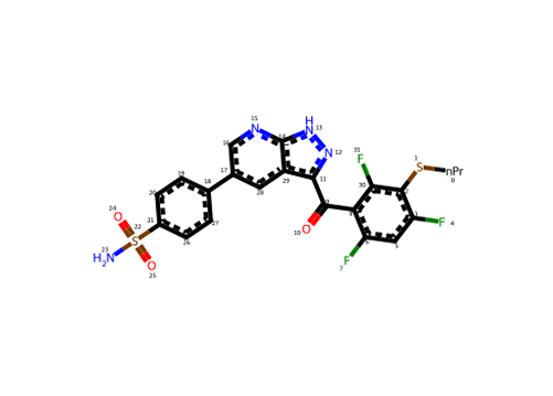 CCCSc1c(F)cc(F)c(C(=O)c2n[nH]c3ncc(-c4ccc(S(N)(=O)=O)cc4)cc23)c1F